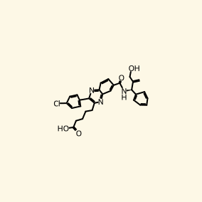 C=C(CO)[C@H](NC(=O)c1ccc2nc(-c3ccc(Cl)cc3)c(CCCCC(=O)O)nc2c1)c1ccccc1